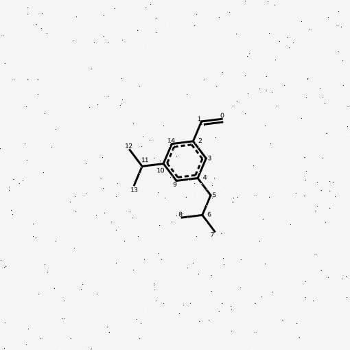 C=[C]c1cc(CC(C)C)cc(C(C)C)c1